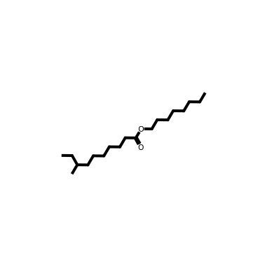 CCCCCCCCOC(=O)CCCCCCC(C)CC